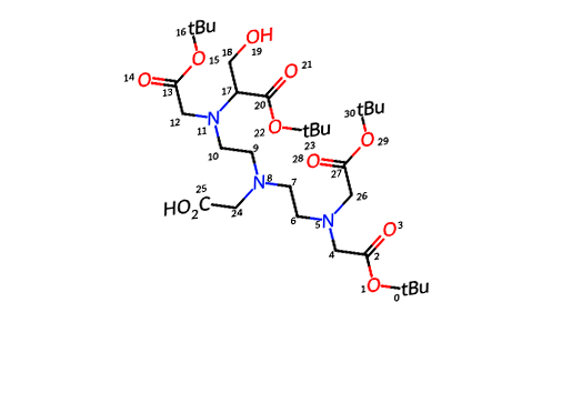 CC(C)(C)OC(=O)CN(CCN(CCN(CC(=O)OC(C)(C)C)C(CO)C(=O)OC(C)(C)C)CC(=O)O)CC(=O)OC(C)(C)C